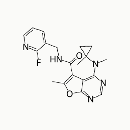 Cc1oc2ncnc(N(C)C3(C)CC3)c2c1C(=O)NCc1cccnc1F